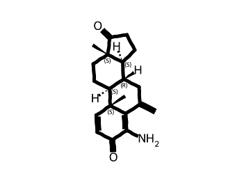 C=C1C[C@@H]2[C@H](CC[C@]3(C)C(=O)CC[C@@H]23)[C@@]2(C)C=CC(=O)C(N)=C12